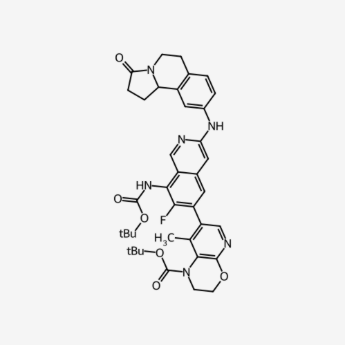 Cc1c(-c2cc3cc(Nc4ccc5c(c4)C4CCC(=O)N4CC5)ncc3c(NC(=O)OC(C)(C)C)c2F)cnc2c1N(C(=O)OC(C)(C)C)CCO2